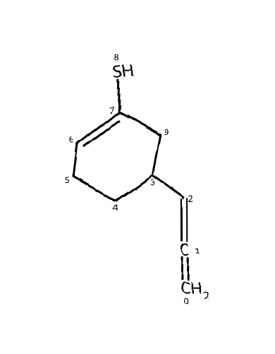 C=C=CC1CCC=C(S)C1